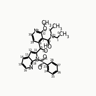 CCN(CC)C(=O)c1c(C(O)c2cc3cccnc3n2S(=O)(=O)c2ccccc2)ccnc1OC